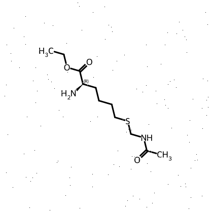 CCOC(=O)[C@H](N)CCCCSCNC(C)=O